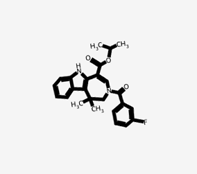 CC(C)OC(=O)C1=CN(C(=O)c2cccc(F)c2)CC(C)(C)c2c1[nH]c1ccccc21